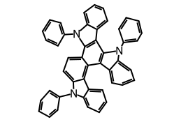 c1ccc(-n2c3ccccc3c3c4c(ccc32)c2c(c3ccccc3n2-c2ccccc2)c2c4c3ccccc3n2-c2ccccc2)cc1